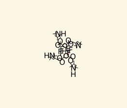 CN1C(C)(C)CC(COC(=O)c2cc(C(=O)OCC3CC(C)(C)NC3(C)C)cc(C(c3cc(C(=O)OCC4CC(C)(C)NC4(C)C)cc(C(=O)OCC4CC(C)(C)NC4(C)C)c3)(C(F)(F)F)C(F)(F)F)c2)C1(C)C